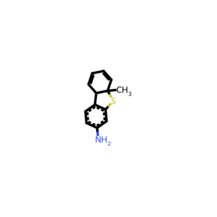 CC12C=CC=CC1c1ccc(N)cc1S2